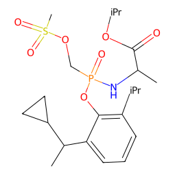 CC(C)OC(=O)C(C)NP(=O)(COS(C)(=O)=O)Oc1c(C(C)C)cccc1C(C)C1CC1